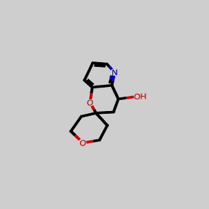 OC1CC2(CCOCC2)Oc2cccnc21